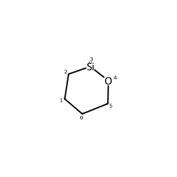 C1CC[Si]OC1